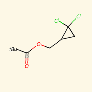 CC(C)(C)C(=O)OCC1CC1(Cl)Cl